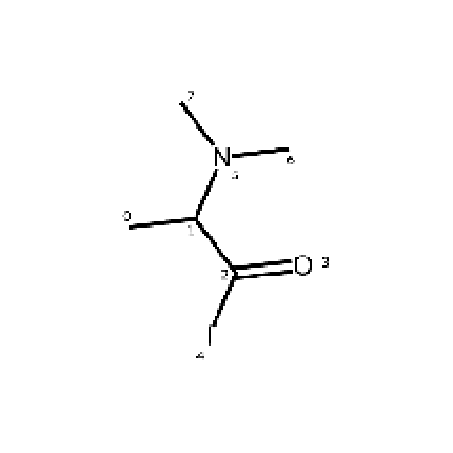 CC(C(=O)I)N(C)C